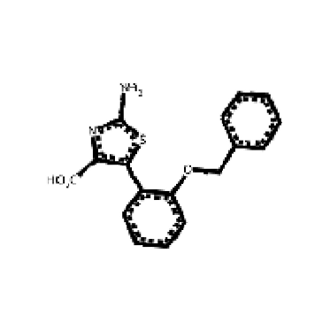 Nc1nc(C(=O)O)c(-c2ccccc2OCc2ccccc2)s1